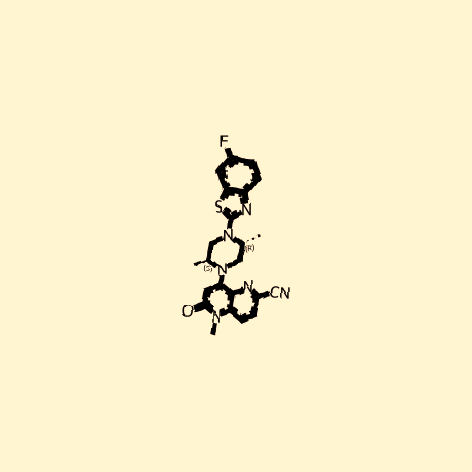 C[C@@H]1CN(c2cc(=O)n(C)c3ccc(C#N)nc23)[C@@H](C)CN1c1nc2ccc(F)cc2s1